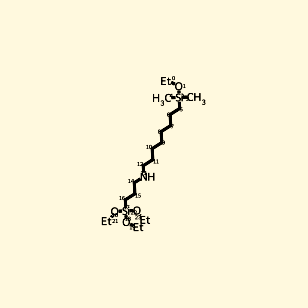 CCO[Si](C)(C)CCCCCCCCNCCC[Si](OCC)(OCC)OCC